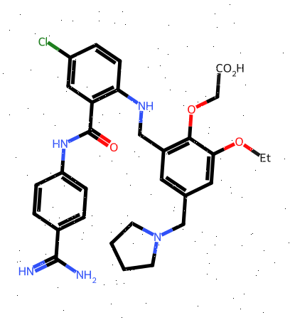 CCOc1cc(CN2CCCC2)cc(CNc2ccc(Cl)cc2C(=O)Nc2ccc(C(=N)N)cc2)c1OCC(=O)O